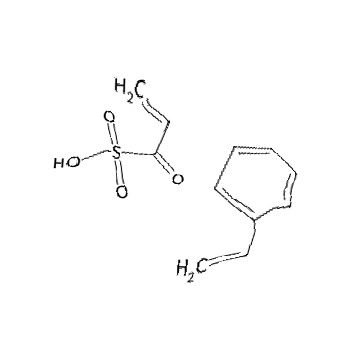 C=CC(=O)S(=O)(=O)O.C=Cc1ccccc1